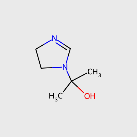 CC(C)(O)N1C=NCC1